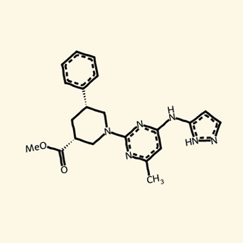 COC(=O)[C@@H]1C[C@H](c2ccccc2)CN(c2nc(C)cc(Nc3ccn[nH]3)n2)C1